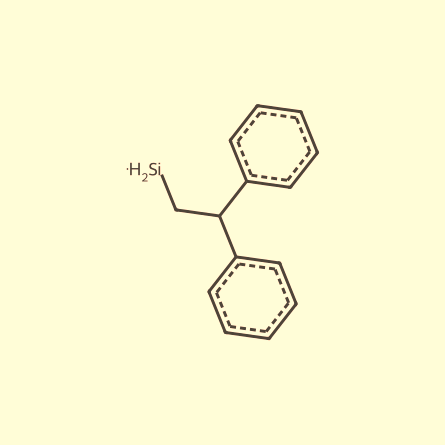 [SiH2]CC(c1ccccc1)c1ccccc1